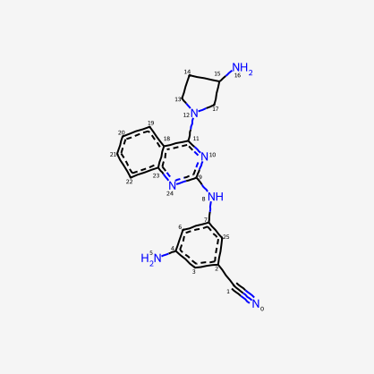 N#Cc1cc(N)cc(Nc2nc(N3CCC(N)C3)c3ccccc3n2)c1